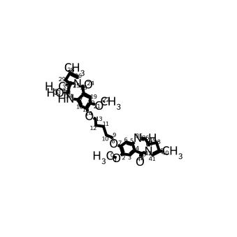 COc1cc2c(cc1OCCCCCOc1cc3c(cc1OC)C(=O)N1C=C(C)C[C@@]1(C)[C@H](O)N3)N=C[C@@H]1CC(C)=CN1C2=O